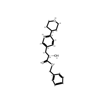 O=C(OCc1ccccc1)[C@@H](O)Cc1ccc(C2CCOCC2)nc1